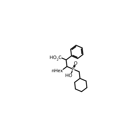 CCCCCCC(C(C(=O)O)c1ccccc1)P(=O)(O)CC1CCCCC1